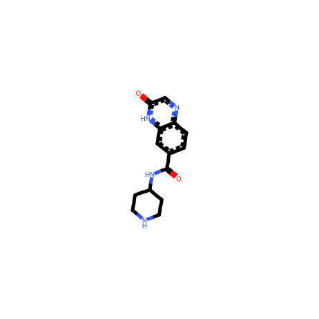 O=C(NC1CCNCC1)c1ccc2ncc(=O)[nH]c2c1